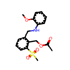 COc1ccccc1NCc1cccc(S(C)(=O)=O)c1COC(C)=O